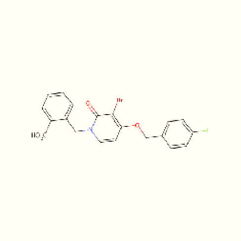 O=C(O)c1ccccc1Cn1ccc(OCc2ccc(F)cc2)c(Br)c1=O